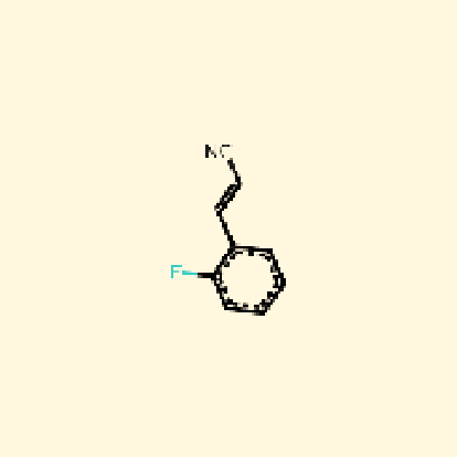 N#C/C=C/c1ccccc1F